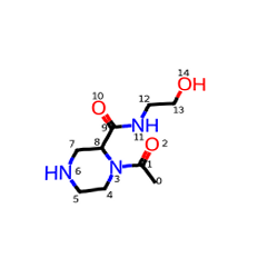 CC(=O)N1CCNCC1C(=O)NCCO